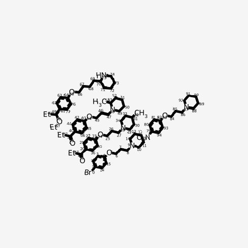 Brc1ccc(OCCCN2CCCCC2)cc1.CCC(=O)c1ccc(OCCCN2CCC(C)CC2)cc1.CCC(=O)c1ccc(OCCCN2CCCCC2C)cc1.CCOC(CC)c1ccc(OCCCCC2CCCCN2)cc1.O=[N+]([O-])c1ccc(OCCCN2CCCCC2)cc1